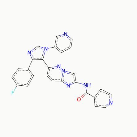 O=C(Nc1cn2nc(-c3c(-c4ccc(F)cc4)ncn3-c3cccnc3)ccc2n1)c1ccncc1